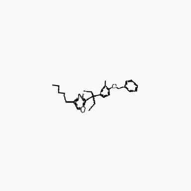 CCCCCc1coc(C(CC)(CC)c2ccc(OCc3ccccc3)c(C)c2)n1